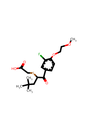 COCCOc1ccc(C(=O)C(CC(C)(C)C)SCC(=O)O)cc1F